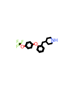 FC(F)(F)Oc1ccc(Oc2ccccc2CC2CCNCC2)cc1